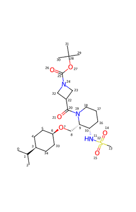 CC(C)[C@H]1CC[C@@H](OC[C@H]2[C@@H](NS(C)(=O)=O)CCCN2C(=O)C2CN(C(=O)OC(C)(C)C)C2)CC1